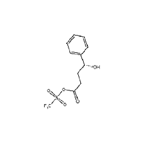 O=C(CC[C@@H](O)c1ccccc1)OS(=O)(=O)C(F)(F)F